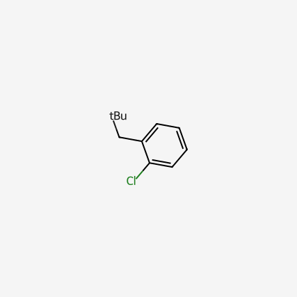 CC(C)(C)Cc1ccccc1Cl